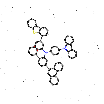 c1ccc(-c2ccc(-c3cc4ccccc4c4ccccc34)cc2N(c2ccc(-n3c4ccccc4c4ccccc43)cc2)c2cccc(-c3cccc4c3sc3ccccc34)c2)cc1